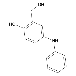 OCc1cc(Nc2ccccc2)ccc1O